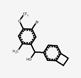 Cc1cc(OC(F)(F)F)c(Br)cc1C(O)c1ccc2c(c1)CC2